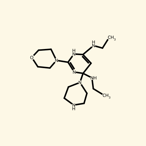 CCNC1=CC(NCC)(N2CCNCC2)N=C(N2CCOCC2)N1